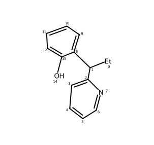 CCC(c1ccccn1)c1ccccc1O